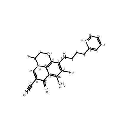 CC1COc2c(NCCCc3ccccn3)c(F)c(N)c3c(=O)c(C#N)cn1c23